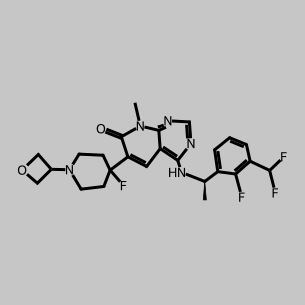 C[C@@H](Nc1ncnc2c1cc(C1(F)CCN(C3COC3)CC1)c(=O)n2C)c1cccc(C(F)F)c1F